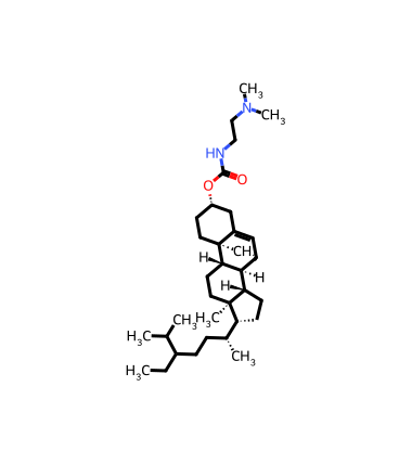 CCC(CC[C@@H](C)[C@H]1CC[C@H]2[C@@H]3CC=C4C[C@@H](OC(=O)NCCN(C)C)CC[C@]4(C)[C@H]3CC[C@]12C)C(C)C